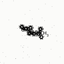 CN1C(C2=CC=CCC2)=NC(c2ccc3c(c2)oc2c(N4c5cc6oc7c(c6cc5C5C=CC=CC54)C=CCC7)cccc23)NC1C1=CC=CCC1